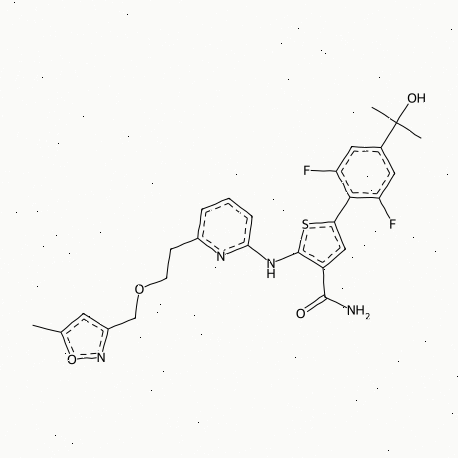 Cc1cc(COCCc2cccc(Nc3sc(-c4c(F)cc(C(C)(C)O)cc4F)cc3C(N)=O)n2)no1